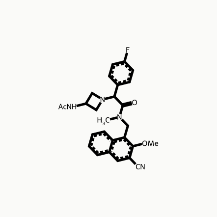 COc1c(C#N)cc2ccccc2c1CN(C)C(=O)C(c1ccc(F)cc1)N1CC(NC(C)=O)C1